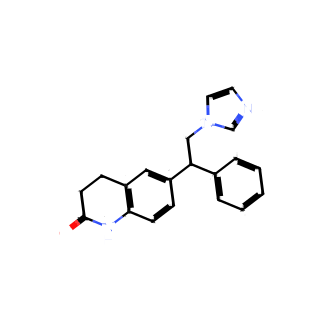 O=C1CCc2cc(C(Cn3ccnc3)c3ccccc3)ccc2N1